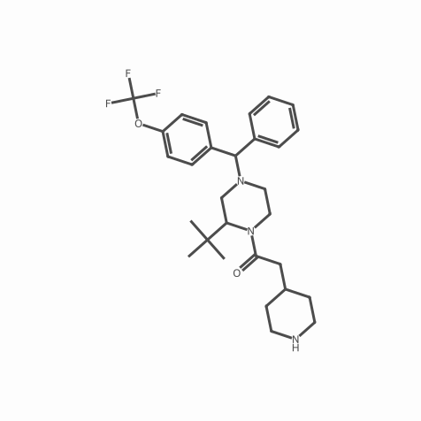 CC(C)(C)C1CN(C(c2ccccc2)c2ccc(OC(F)(F)F)cc2)CCN1C(=O)CC1CCNCC1